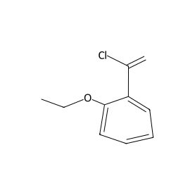 C=C(Cl)c1ccccc1OCC